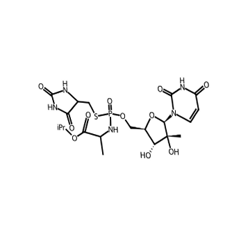 CC(C)OC(=O)C(C)NP(=O)(OC[C@H]1O[C@@H](n2ccc(=O)[nH]c2=O)[C@](C)(O)[C@@H]1O)SCC1NC(=O)NC1=O